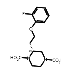 O=C(O)N1CCN(C(=O)O)[C@H](CCOc2ccccc2F)C1